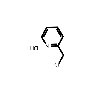 Cl.ClCC1=[N+]C=CC=C1